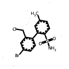 Cc1ccc(S(N)(=O)=O)c(-c2ccc(Br)cc2CCl)c1